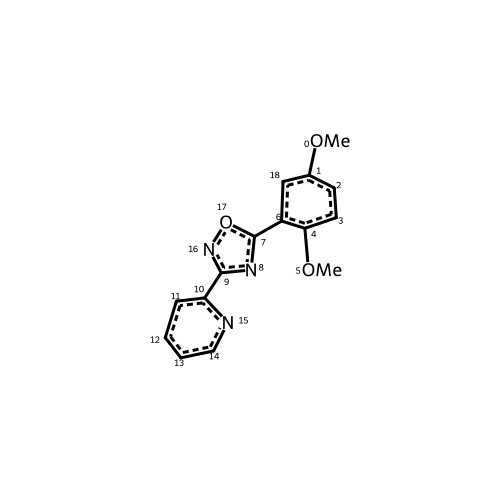 COc1ccc(OC)c(-c2nc(-c3ccccn3)no2)c1